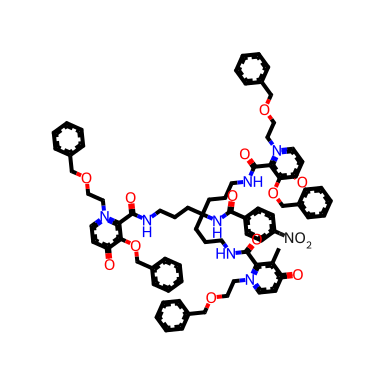 Cc1c(C(=O)NCCCC(CCCNC(=O)c2c(OCc3ccccc3)c(=O)ccn2CCOCc2ccccc2)(CCCNC(=O)c2c(OCc3ccccc3)c(=O)ccn2CCOCc2ccccc2)NC(=O)c2ccc([N+](=O)[O-])cc2)n(CCOCc2ccccc2)ccc1=O